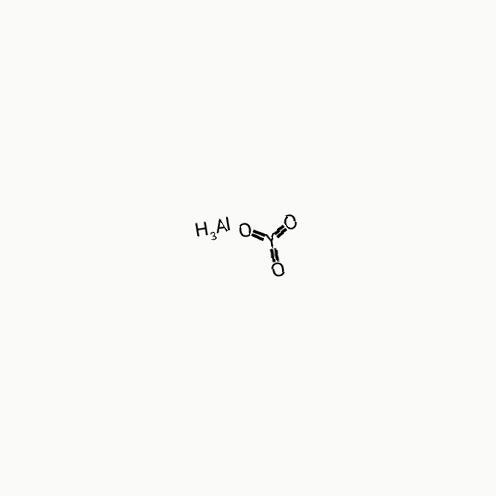 [AlH3].[O]=[Y](=[O])=[O]